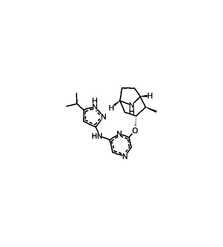 CC(C)c1cc(Nc2cncc(O[C@@H]3C[C@@H]4CC[C@@H](N4)[C@H]3C)n2)n[nH]1